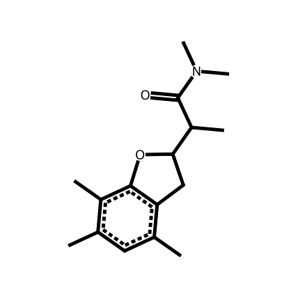 Cc1cc(C)c2c(c1C)OC(C(C)C(=O)N(C)C)C2